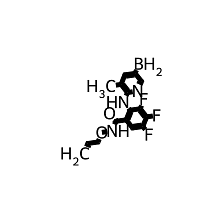 Bc1cnc(Nc2c(C(=O)NOCC=C)cc(F)c(F)c2F)c(C)c1